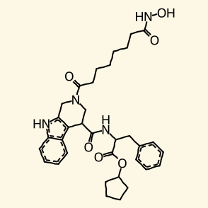 O=C(CCCCCCC(=O)N1Cc2[nH]c3ccccc3c2C(C(=O)NC(Cc2ccccc2)C(=O)OC2CCCC2)C1)NO